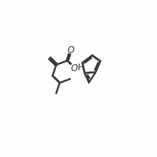 C=C(CC(C)C)C(=O)O.c1cc2cc-2c1